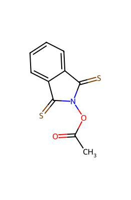 CC(=O)ON1C(=S)c2ccccc2C1=S